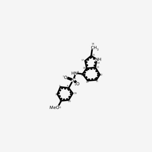 COc1ccc(S(=O)(=O)Nc2cccc3[nH]c(C)cc23)cc1